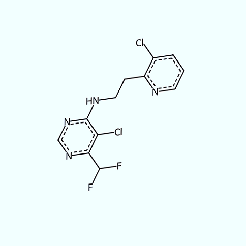 FC(F)c1ncnc(NCCc2ncccc2Cl)c1Cl